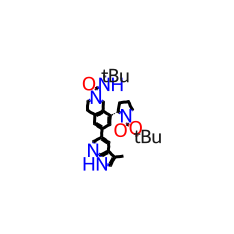 Cc1c[nH]c2ncc(-c3cc4c(c([C@@H]5CCCN5C(=O)OC(C)(C)C)c3)CN(C(=O)NC(C)(C)C)CC4)cc12